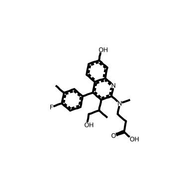 Cc1cc(-c2c(C(C)CO)c(N(C)CCC(=O)O)nc3cc(O)ccc23)ccc1F